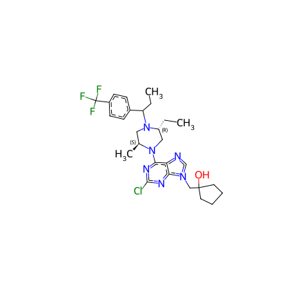 CCC(c1ccc(C(F)(F)F)cc1)N1C[C@H](C)N(c2nc(Cl)nc3c2ncn3CC2(O)CCCC2)C[C@H]1CC